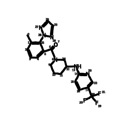 Cc1cccc(C(=O)N2CCCC(Nc3ccc(C(F)(F)F)cn3)C2)c1-n1nccn1